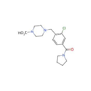 O=C(O)N1CCN(Cc2ccc(C(=O)N3CCCC3)cc2Cl)CC1